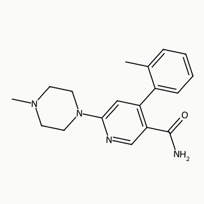 Cc1ccccc1-c1cc(N2CCN(C)CC2)ncc1C(N)=O